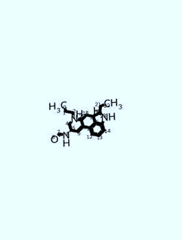 CCCN1C[C@@H](NC=O)C=C2c3cccc4c3[C@H](C[C@H]21)C(CC)N4